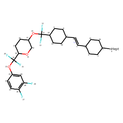 CCCCCCCC1CCC(/C=C/C2CCC(C(F)(F)OC3CCC(C(F)(F)Oc4ccc(F)c(F)c4)OC3)CC2)CC1